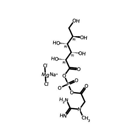 CN(CC(=O)OP(=O)([O-])OC(=O)[C@H](O)[C@@H](O)[C@H](O)[C@H](O)CO)C(=N)N.[Cl][Mg][Cl].[Na+]